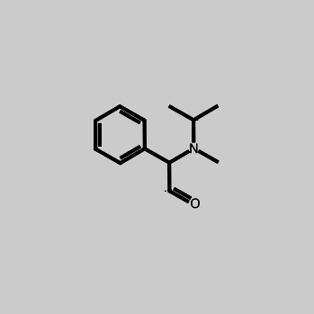 C[C](C)N(C)C([C]=O)c1ccccc1